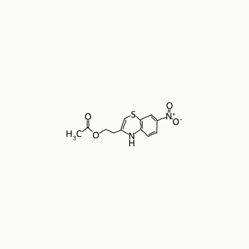 CC(=O)OCCC1=CSc2cc([N+](=O)[O-])ccc2N1